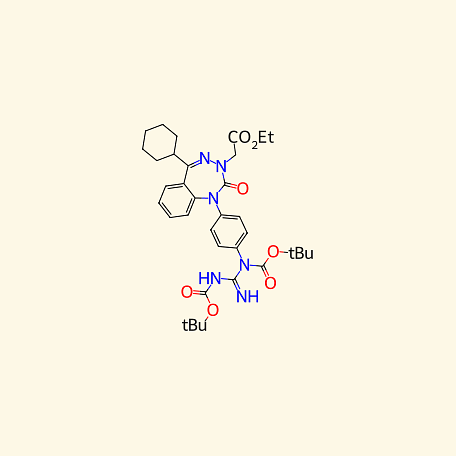 CCOC(=O)CN1N=C(C2CCCCC2)c2ccccc2N(c2ccc(N(C(=N)NC(=O)OC(C)(C)C)C(=O)OC(C)(C)C)cc2)C1=O